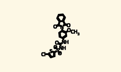 COc1cc(NC(=O)NS(=O)(=O)c2ccc(Cl)s2)ccc1N1C(=O)c2ccccc2C1=O